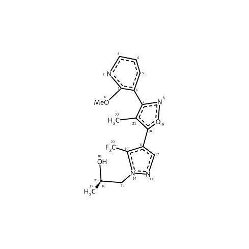 COc1ncccc1-c1noc(-c2cnn(C[C@@H](C)O)c2C(F)(F)F)c1C